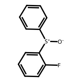 [O-][S+](c1ccccc1)c1ccccc1F